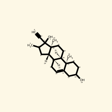 C#CC1(O)C(C)C[C@H]2[C@@H]3CC=C4CC(O)CC[C@]4(C)[C@@H]3CC[C@@]21C